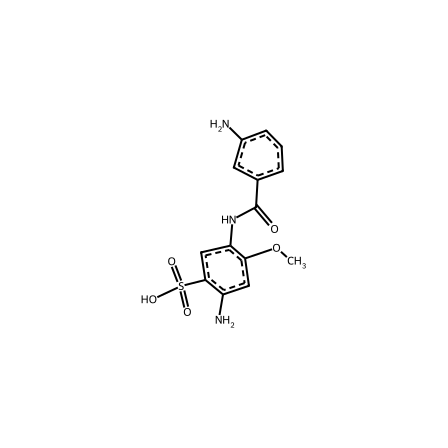 COc1cc(N)c(S(=O)(=O)O)cc1NC(=O)c1cccc(N)c1